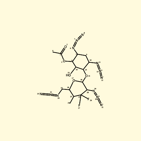 CC(=O)OC1C(N=[N+]=[N-])CC(N=[N+]=[N-])C(OC2OC(CN=[N+]=[N-])C(C)C(F)(F)C2N=[N+]=[N-])C1O